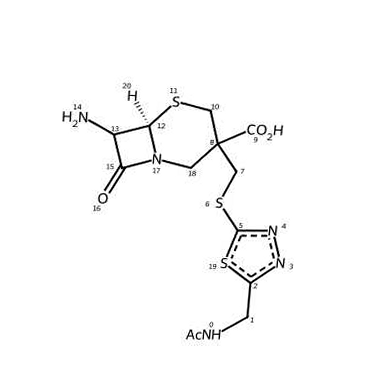 CC(=O)NCc1nnc(SCC2(C(=O)O)CS[C@@H]3C(N)C(=O)N3C2)s1